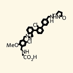 COc1cc(Cn2ncc3c(-c4cccc(-c5ccc(CNC[C@@H]6CCC(=O)N6)cc5)c4Cl)cccc32)c(Cl)cc1CNCC(=O)O